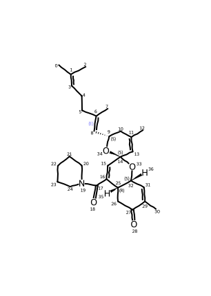 CC(C)=CCC/C(C)=C/[C@@H]1CC(C)=C[C@]2(C=C(C(=O)N3CCCCC3)[C@H]3CC(=O)C(C)=C[C@H]3O2)O1